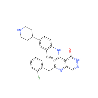 COc1cc(C2CCNCC2)ccc1Nc1cc(Cc2ccccc2Cl)nc2cn[nH]c(=O)c12